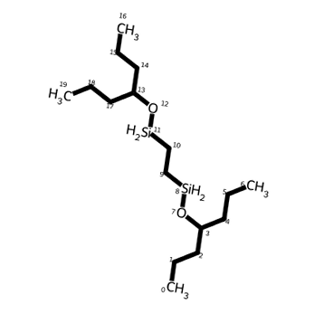 CCCC(CCC)O[SiH2]CC[SiH2]OC(CCC)CCC